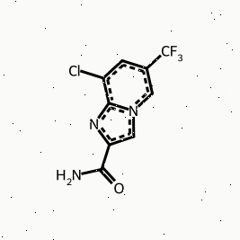 NC(=O)c1cn2cc(C(F)(F)F)cc(Cl)c2n1